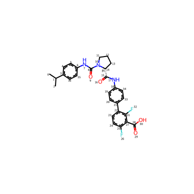 CC(C)c1ccc(NC(=O)N2CCC[C@@H]2C(=O)Nc2ccc(-c3ccc(F)c(C(=O)O)c3F)cc2)cc1